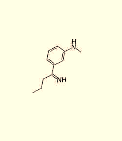 CCCC(=N)c1cccc(NC)c1